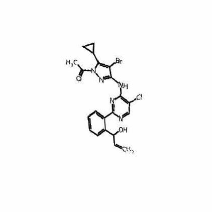 C=CC(O)c1ccccc1-c1ncc(Cl)c(Nc2nn(C(C)=O)c(C3CC3)c2Br)n1